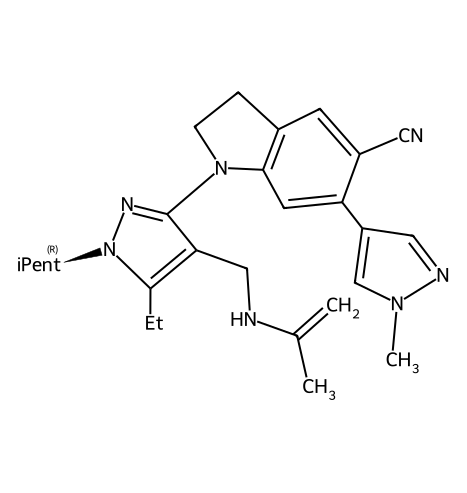 C=C(C)NCc1c(N2CCc3cc(C#N)c(-c4cnn(C)c4)cc32)nn([C@H](C)CCC)c1CC